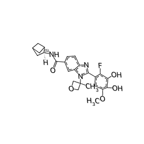 COc1cc(-c2nc3ccc(C(=O)N[C@H]4CC5CC4C5)cc3n2C2(C)COC2)c(F)c(O)c1O